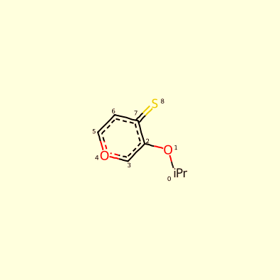 CC(C)Oc1coccc1=S